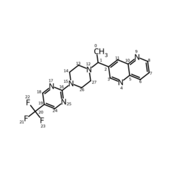 CC(c1cnc2cccnc2c1)N1CCN(c2ncc(C(F)(F)F)cn2)CC1